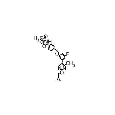 Cc1nc(OCC2CC2)ncc1-c1cc(F)cc(OCc2ccc(C(=O)NS(C)(=O)=O)cc2)c1